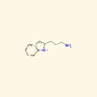 NCCCc1cc2ccccc2[nH]1